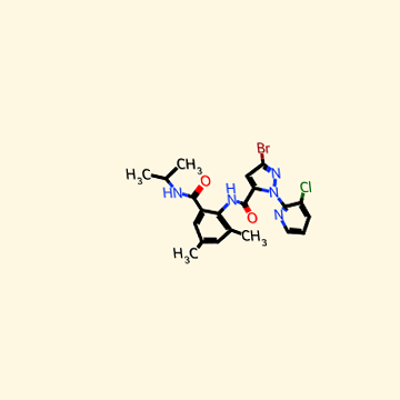 Cc1cc(C)c(NC(=O)c2cc(Br)nn2-c2ncccc2Cl)c(C(=O)NC(C)C)c1